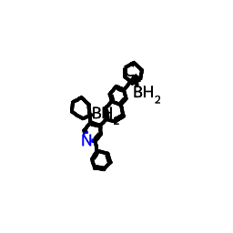 BC1(c2cnc(-c3ccccc3)cc2-c2ccc3cc(C4(B)CC5CCC4CC5)ccc3c2)CCCCC1